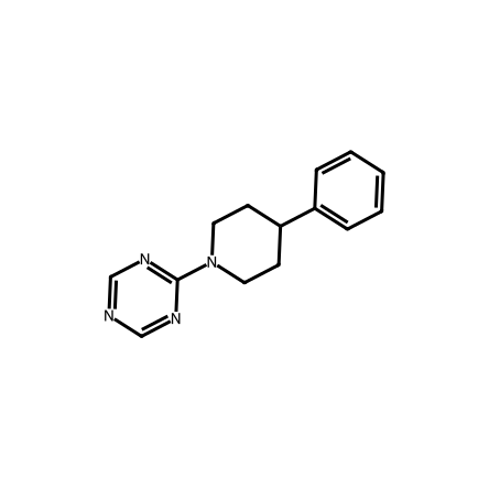 c1ccc(C2CCN(c3ncncn3)CC2)cc1